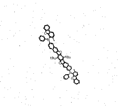 Cc1ccc2c(oc3ccccc32)c1N(c1ccccc1)c1ccc2cc3c(cc2c1)oc1c(C(C)(C)C)c2c(oc4cc5cc(N(c6ccccc6)c6c(C)ccc7c6oc6ccccc67)ccc5cc42)c(C(C)(C)C)c13